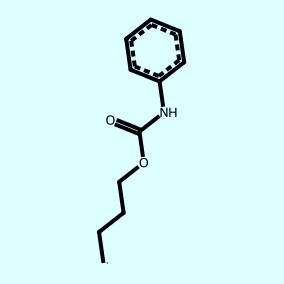 [CH2]CCCOC(=O)Nc1ccccc1